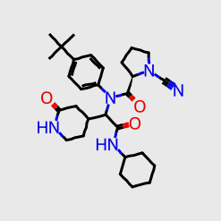 CC(C)(C)c1ccc(N(C(=O)[C@H]2CCCN2C#N)C(C(=O)NC2CCCCC2)C2CCNC(=O)C2)cc1